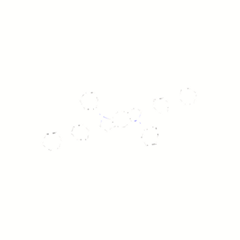 Cc1ccc(-n2c(-c3ccc(-c4ccccc4)cc3)cc3cc4c(cc(-c5ccc(-c6ccccc6)cc5)n4-c4ccc(C)cc4)cc32)cc1